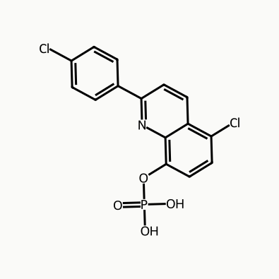 O=P(O)(O)Oc1ccc(Cl)c2ccc(-c3ccc(Cl)cc3)nc12